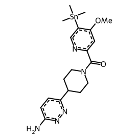 COc1cc(C(=O)N2CCC(c3ccc(N)nn3)CC2)nc[c]1[Sn]([CH3])([CH3])[CH3]